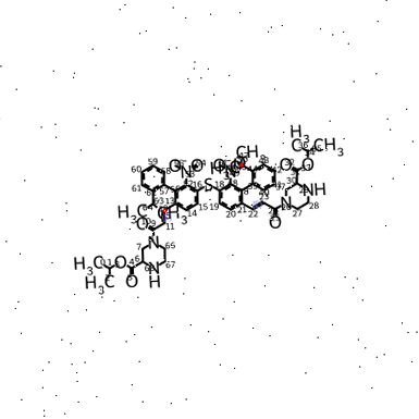 CC(C)OC(=O)C1CN(C(=O)/C=C/c2ccc(Sc3ccc(/C=C/C(=O)N4CCNC(C(=O)OC(C)C)C4)c(-c4ccccc4C(C)C)c3[N+](=O)[O-])c([N+](=O)[O-])c2-c2ccccc2C(C)C)CCN1